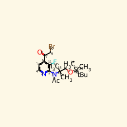 CC(=O)N(c1nccc(C(=O)CBr)c1F)C(C)(C)CO[Si](C)(C)C(C)(C)C